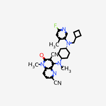 Cc1cc(F)ncc1N(CC1CCC1)[C@H]1CC[C@H](N(C)c2c(C#N)c(=O)n(C)c3ccc(C#N)nc23)CC1